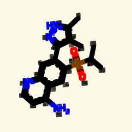 Cc1[nH]nc(-c2cc3nccc(N)c3cc2S(=O)(=O)C(C)C)c1C